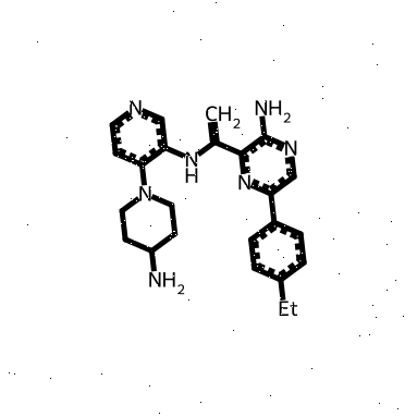 C=C(Nc1cnccc1N1CCC(N)CC1)c1nc(-c2ccc(CC)cc2)cnc1N